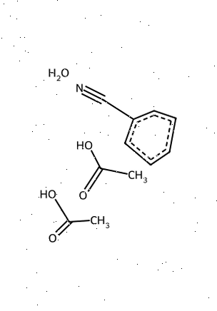 CC(=O)O.CC(=O)O.N#Cc1ccccc1.O